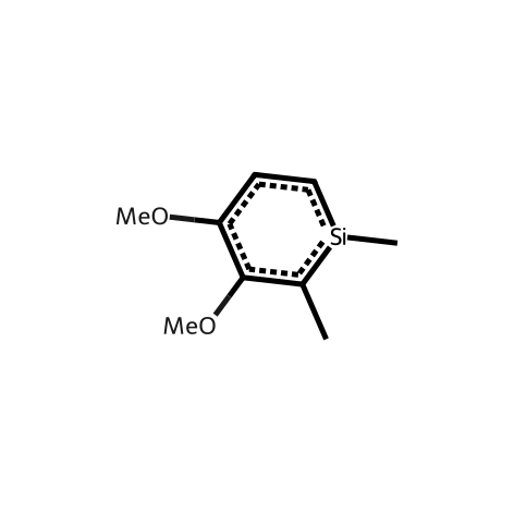 COc1cc[si](C)c(C)c1OC